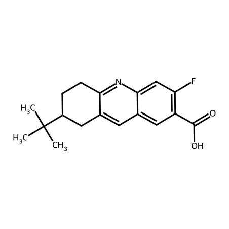 CC(C)(C)C1CCc2nc3cc(F)c(C(=O)O)cc3cc2C1